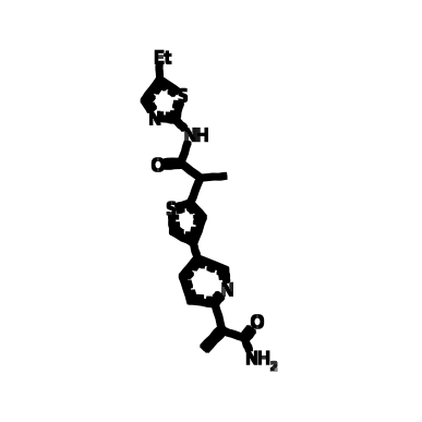 C=C(C(N)=O)c1ccc(-c2csc(C(C)C(=O)Nc3ncc(CC)s3)c2)cn1